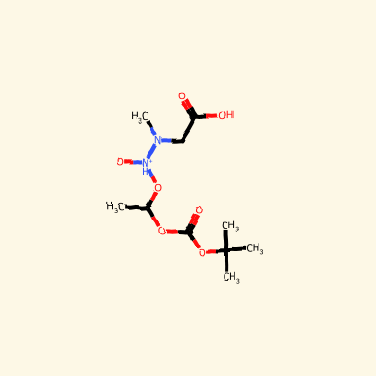 CC(OC(=O)OC(C)(C)C)O[NH+]([O-])N(C)CC(=O)O